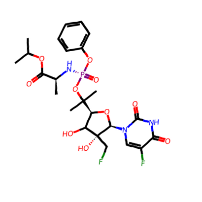 CC(C)OC(=O)[C@H](C)N[P@@](=O)(Oc1ccccc1)OC(C)(C)[C@H]1O[C@@H](n2cc(F)c(=O)[nH]c2=O)[C@@](O)(CF)C1O